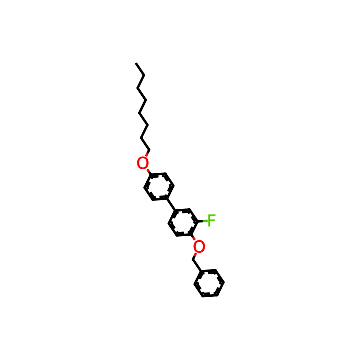 CCCCCCCCOc1ccc(-c2ccc(OCc3ccccc3)c(F)c2)cc1